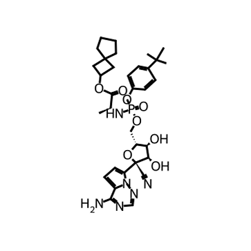 C[C@H](NP(=O)(OC[C@H]1O[C@@](C#N)(c2ccc3c(N)ncnn23)[C@H](O)[C@@H]1O)Oc1ccc(C(C)(C)C)cc1)C(=O)OC1CC2(CCCC2)C1